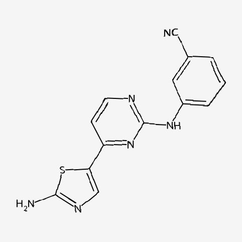 N#Cc1cccc(Nc2nccc(-c3cnc(N)s3)n2)c1